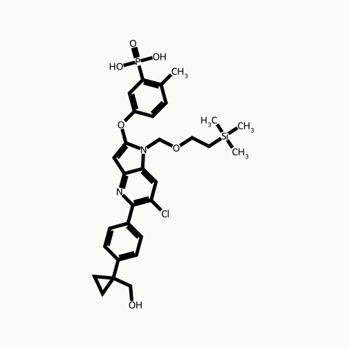 Cc1ccc(Oc2cc3nc(-c4ccc(C5(CO)CC5)cc4)c(Cl)cc3n2COCC[Si](C)(C)C)cc1P(=O)(O)O